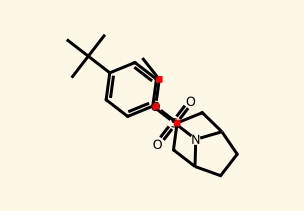 CCOC1CC2CCC(C1)N2S(=O)(=O)c1ccc(C(C)(C)C)cc1